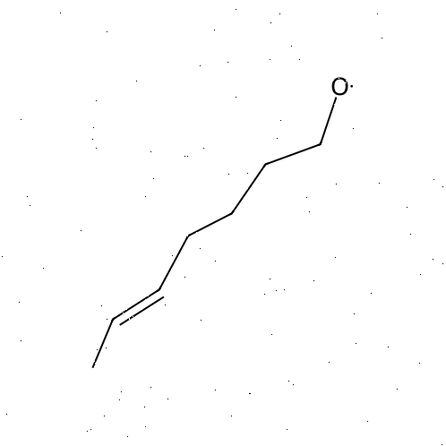 CC=CCCCC[O]